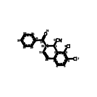 N#CC1c2c(ccc(Cl)c2Cl)C=CN1C(=O)c1ccccc1